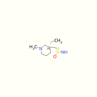 CC[C@]1(C[SH](=N)=O)CCCN(C)C1